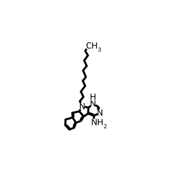 CCCCCCCCCCCCN1C2C=C3CC=CC=C3C=C2C2=C(N)N=CNC21